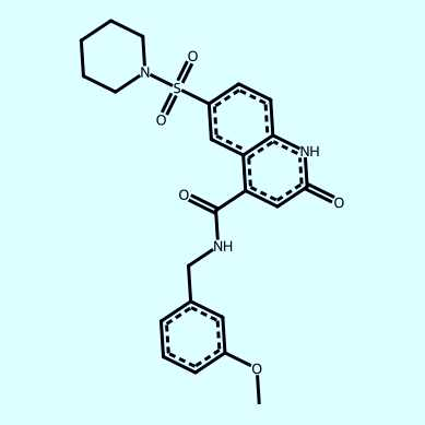 COc1cccc(CNC(=O)c2cc(=O)[nH]c3ccc(S(=O)(=O)N4CCCCC4)cc23)c1